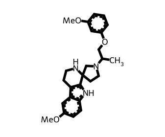 COc1cccc(OCC(C)N2CCC3(C2)NCCc2c3[nH]c3ccc(OC)cc23)c1